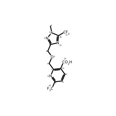 Cn1nc(COCc2nc(C(F)(F)F)ccc2C(=O)O)nc1C(F)(F)F